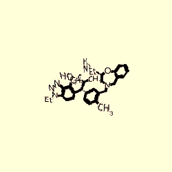 CC[C@@H]1CN(Cc2cc([C@H](c3ccc4c(nnn4CC)c3C)[C@@H](C)C(=O)O)ccc2C)Cc2ccccc2O1.N